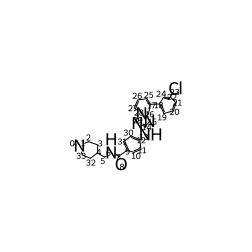 CN1CCC(CNC(=O)c2ccc(Nc3nc4c(-c5cccc(Cl)c5)cccn4n3)cc2)CC1